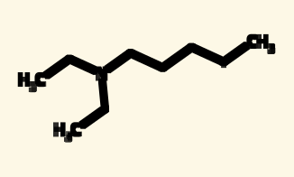 C[CH]CCCN(CC)CC